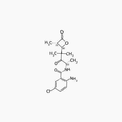 C[C@H](NC(=O)c1cc(Cl)ccc1N)C(=O)C(C)(C)[C@@H]1OC(=O)[C@H]1C